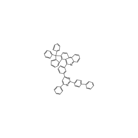 c1ccc(-c2ccc(-c3nc(-c4ccccc4)cc(-c4cccc(-c5nc6ccccc6c6ccc7c(c56)-c5ccccc5C7(c5ccccc5)c5ccccc5)c4)n3)cc2)cc1